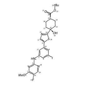 COc1nc(Nc2cc(C)cc(-c3cnc([C@]4(O)CC[C@@H](C(=O)OC(C)(C)C)CC4)s3)c2)ncc1F